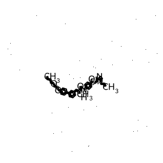 CCCCOCCOc1ccc(-c2cccc(/C=C(\C)C(=O)Nc3ccc([S@@+]([O-])Cc4cncn4CCC)cc3)c2)cc1